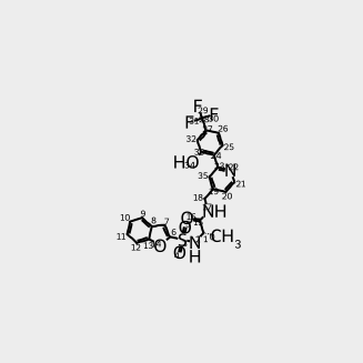 C[C@H](NS(=O)(=O)c1cc2ccccc2o1)C(=O)NCc1ccnc(-c2ccc(C(F)(F)F)cc2O)c1